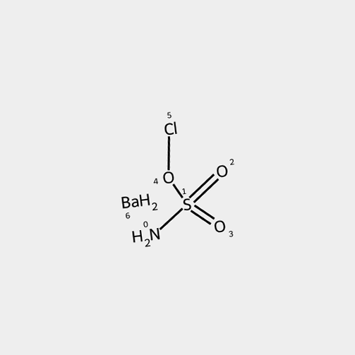 NS(=O)(=O)OCl.[BaH2]